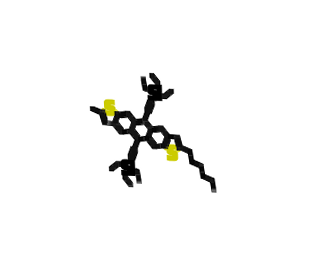 CCCCCCc1cc2cc3c(C#C[Si](CC)(CC)CC)c4cc5sc(C)cc5cc4c(C#C[Si](CC)(CC)CC)c3cc2s1